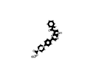 CC(C)(C)OC(=O)N1CCN(c2ccc(-c3cnc4[nH]cc(C(=O)C5(C)CCCCC5)c4n3)cc2)CC1